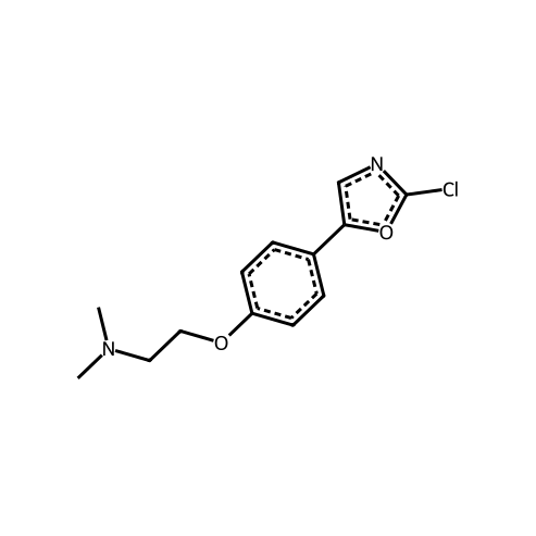 CN(C)CCOc1ccc(-c2cnc(Cl)o2)cc1